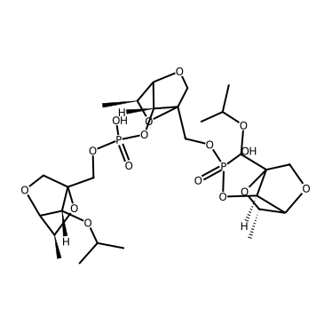 CC(C)OCC12COC([C@H](C)O1)[C@H]2OP(=O)(O)OCC12COC([C@H](C)O1)[C@H]2OP(=O)(O)OCC12COC([C@H](C)O1)[C@H]2OC(C)C